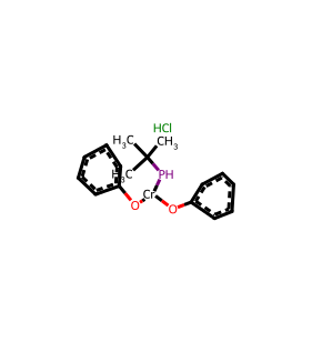 CC(C)(C)[PH][Cr]([O]c1ccccc1)[O]c1ccccc1.Cl